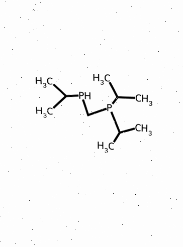 CC(C)PCP(C(C)C)C(C)C